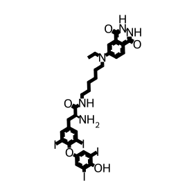 CCN(CCCCCCNC(=O)[C@@H](N)Cc1cc(I)c(Oc2cc(I)c(O)c(I)c2)c(I)c1)c1ccc2c(=O)[nH][nH]c(=O)c2c1